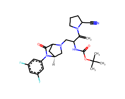 C=C(C(CN1C[C@@H]2CC1C(=O)N2c1cc(F)cc(F)c1)NC(=O)OC(C)(C)C)N1CCCC1C#N